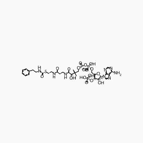 CC(C)(COP(=O)(O)OP(=O)(O)OC[C@H]1O[C@@H](n2cnc3c(N)ncnc32)[C@H](O)[C@@H]1OP(=O)(O)O)[C@@H](O)C(=O)NCCC(=O)NCCSC(=O)NCCc1ccccc1